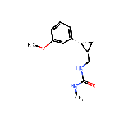 CNC(=O)NC[C@@H]1C[C@H]1c1cccc(OC)c1